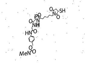 CNC(=O)OCc1ccc(NC(=O)CNC(=O)C(NC(=O)CCCCCN2C(=O)CC(S)C2=O)C(C)C)cc1